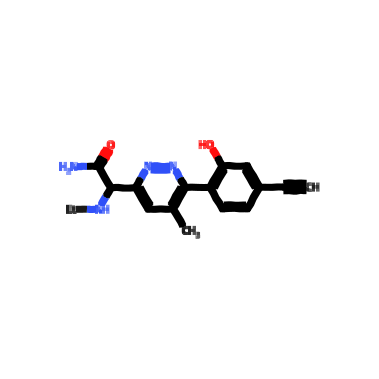 C#Cc1ccc(-c2nnc(C(NCC)C(N)=O)cc2C)c(O)c1